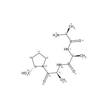 C[C@H](N)C(=O)N[C@@H](C)C(=O)N[C@@H](C)C(=O)N1CCC[C@H]1C(=O)O